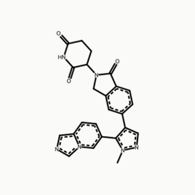 Cn1ncc(-c2ccc3c(c2)CN(C2CCC(=O)NC2=O)C3=O)c1-c1ccc2cncn2c1